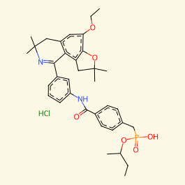 CCOc1cc2c(c3c1OC(C)(C)C3)C(c1cccc(NC(=O)c3ccc(CP(=O)(O)OC(C)CC)cc3)c1)=NC(C)(C)C2.Cl